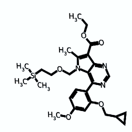 CCOC(=O)c1c(C)n(COCC[Si](C)(C)C)c2c(-c3ccc(OC)cc3OCC3CC3)ncnc12